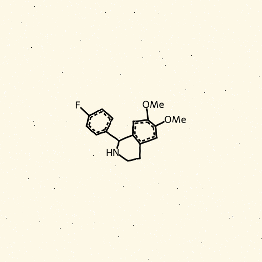 COc1cc2c(cc1OC)C(c1ccc(F)cc1)NCC2